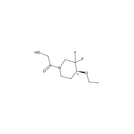 CCO[C@H]1CCN(C(=O)CO)CC1(F)F